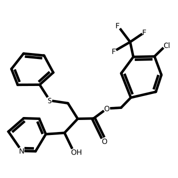 O=C(OCc1ccc(Cl)c(C(F)(F)F)c1)C(CSc1ccccc1)C(O)c1cccnc1